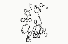 CCOc1cccc(S(=O)(=O)c2cnc(Nc3cc(C#CCN(C)C(=O)OC(C)(C)C)nc(C)n3)s2)c1